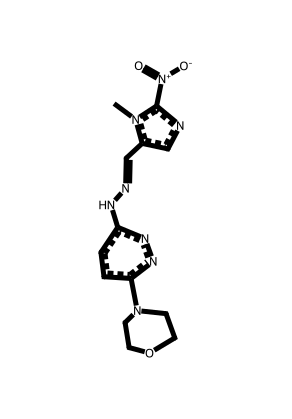 Cn1c(C=NNc2ccc(N3CCOCC3)nn2)cnc1[N+](=O)[O-]